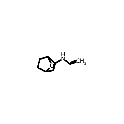 C=CNC1CC2CCC1O2